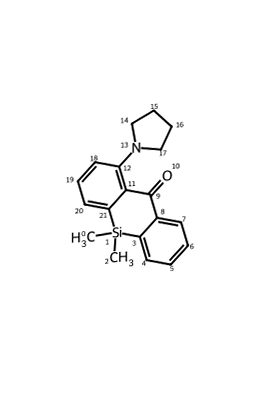 C[Si]1(C)c2ccccc2C(=O)c2c(N3CCCC3)cccc21